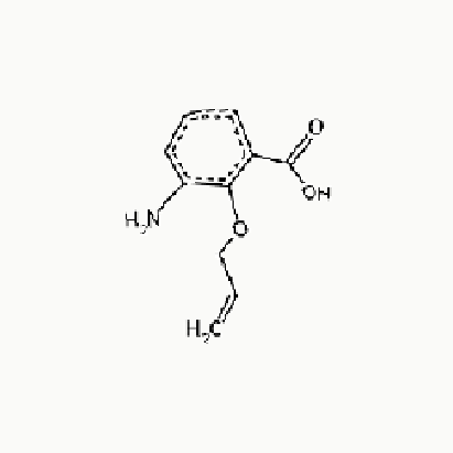 C=CCOc1c(N)cccc1C(=O)O